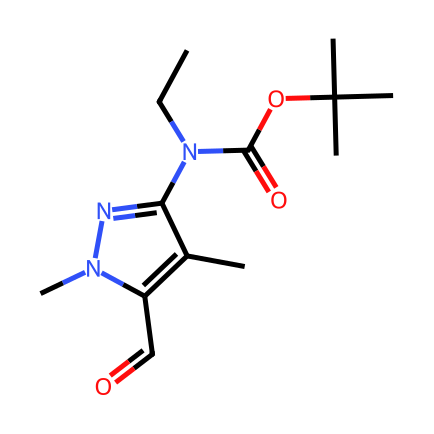 CCN(C(=O)OC(C)(C)C)c1nn(C)c(C=O)c1C